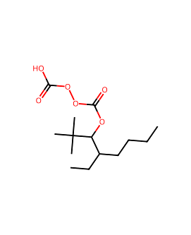 CCCCC(CC)C(OC(=O)OOC(=O)O)C(C)(C)C